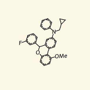 COc1cccc2c1-c1ccc(N(CC3CC3)c3ccccc3)cc1C(c1cccc(F)c1)O2